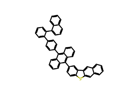 c1ccc(-c2cccc3ccccc23)c(-c2ccc(-c3c4ccccc4c(-c4ccc5sc6cc7ccccc7cc6c5c4)c4ccccc34)cc2)c1